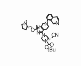 CN1CCC[C@H]1COc1nc2c(c(N3CCN(C(=O)OC(C)(C)C)[C@@H](CC#N)C3)n1)CCN(c1cccc3ccncc13)C2